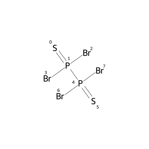 S=P(Br)(Br)P(=S)(Br)Br